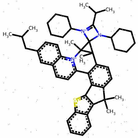 CC(C)Cc1ccc2c(ccc3[n+]2C2(C)C(C)(c4ccc5c(c4-3)-c3sc4ccccc4c3C5(C)C)C23N(C2CCCCC2)C(C(C)C)=[N+]3C2CCCCC2)c1